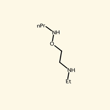 CCCNOCCNCC